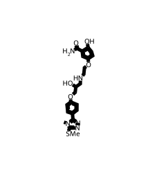 CSc1nnc(-c2ccc(OCC(O)CNCCOc3ccc(O)c(C(N)=O)c3)cc2)n1C